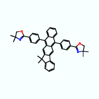 CC1(C)COC(c2ccc(-c3c4ccccc4c(-c4ccc(C5=NC(C)(C)CO5)cc4)c4cc5c(cc34)-c3ccccc3C5(C)C)cc2)=N1